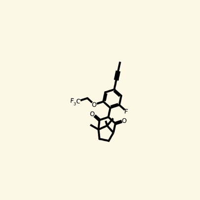 CC#Cc1cc(F)c(C2C(=O)C3CCC(C)(C2=O)C3(C)C)c(OCC(F)(F)F)c1